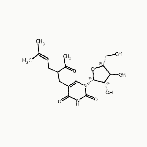 CC(=O)C(CC=C(C)C)Cc1cn([C@@H]2O[C@H](CO)C(O)[C@@H]2O)c(=O)[nH]c1=O